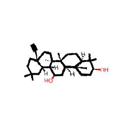 C#C[C@]12CCC(C)(C)C[C@H]1[C@H]1[C@H](O)C[C@@H]3[C@@]4(C)CC[C@H](O)C(C)(C)[C@@H]4CC[C@@]3(C)[C@]1(C)CC2